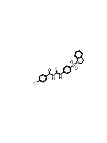 O=C(NC(=S)Nc1ccc(S(=O)(=O)N2CCc3ccccc32)cc1)c1ccc(O)cc1